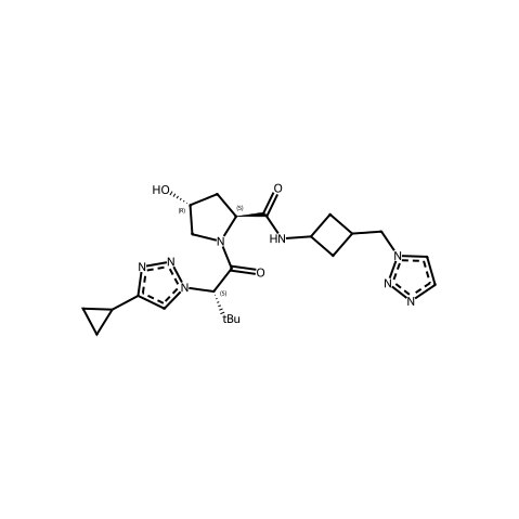 CC(C)(C)[C@@H](C(=O)N1C[C@H](O)C[C@H]1C(=O)NC1CC(Cn2ccnn2)C1)n1cc(C2CC2)nn1